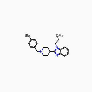 COCCn1c(C2CCN(Cc3ccc(C(C)(C)C)cc3)CC2)nc2ccccc21